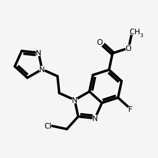 COC(=O)c1cc(F)c2nc(CCl)n(CCn3cccn3)c2c1